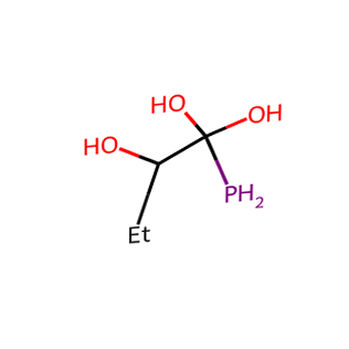 CCC(O)C(O)(O)P